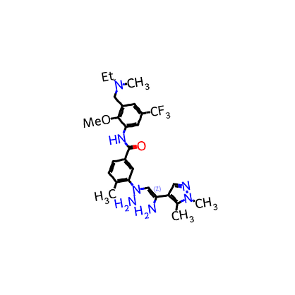 CCN(C)Cc1cc(C(F)(F)F)cc(NC(=O)c2ccc(C)c(N(N)/C=C(\N)c3cnn(C)c3C)c2)c1OC